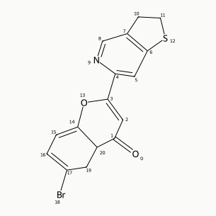 O=C1C=C(c2cc3c(cn2)CCS3)OC2=CC=C(Br)CC12